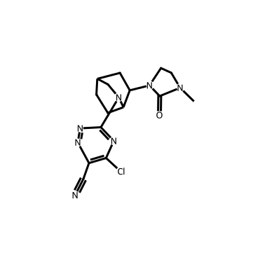 CN1CCN(C2CC3CCC2N(c2nnc(C#N)c(Cl)n2)C3)C1=O